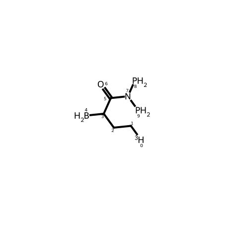 [3H]CCC(B)C(=O)N(P)P